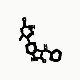 CC1SC(=O)NN=C1c1ccc2c(c1)C(Nc1ccccc1)C(=O)N2